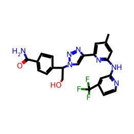 Cc1cc(Nc2cc(C(F)(F)F)ccn2)nc(-c2cn(C(CO)c3ccc(C(N)=O)cc3)nn2)c1